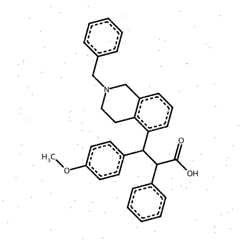 COc1ccc(C(c2cccc3c2CCN(Cc2ccccc2)C3)C(C(=O)O)c2ccccc2)cc1